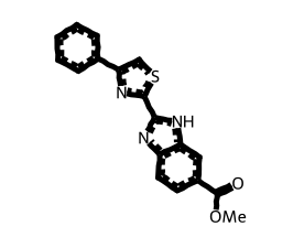 COC(=O)c1ccc2nc(-c3nc(-c4ccccc4)cs3)[nH]c2c1